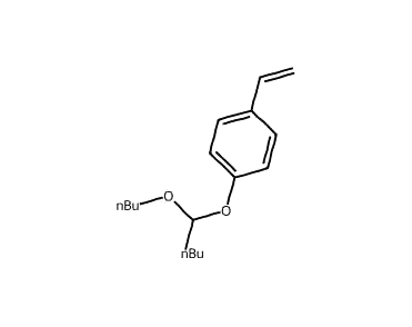 C=Cc1ccc(OC(CCCC)OCCCC)cc1